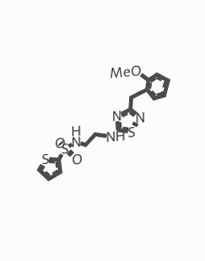 COc1ccccc1Cc1nsc(NCCNS(=O)(=O)c2cccs2)n1